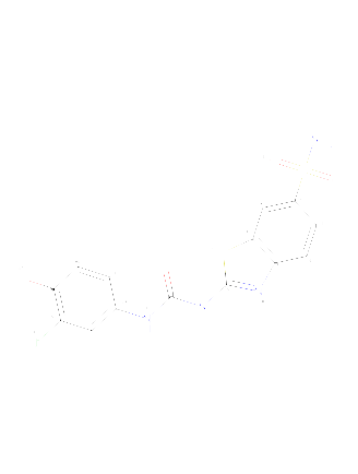 NS(=O)(=O)c1ccc2nc(NC(=O)Nc3ccc(O)c(Cl)c3)sc2c1